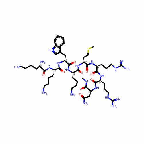 CNC(=O)[C@H](CC(N)=O)NC(=O)[C@H](CCCNC(=N)N)NC(=O)[C@H](CCCNC(=N)N)NC(=O)[C@H](CCSC)NC(=O)[C@H](CCCCN)NC(=O)[C@H](Cc1c[nH]c2ccccc12)NC(=O)[C@H](CCCCN)NC(=O)[C@@H](N)CCCCN